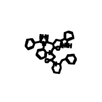 O=C1C(Cc2n[nH]c3ccccc23)c2nnc(-c3ccccc3)n2-c2ccccc2N1CC(=O)N1CCCCC1Cc1ccccc1